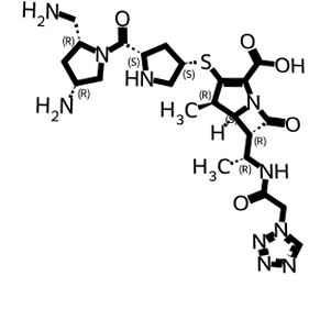 C[C@@H](NC(=O)Cn1cnnn1)[C@H]1C(=O)N2C(C(=O)O)=C(S[C@@H]3CN[C@H](C(=O)N4C[C@H](N)C[C@@H]4CN)C3)[C@H](C)[C@H]12